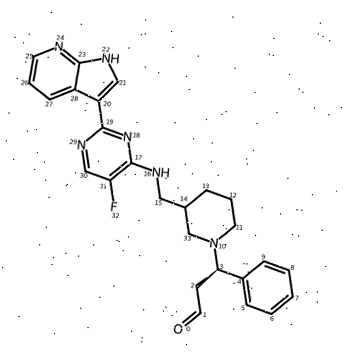 O=CC[C@H](c1ccccc1)N1CCCC(CNc2nc(-c3c[nH]c4ncccc34)ncc2F)C1